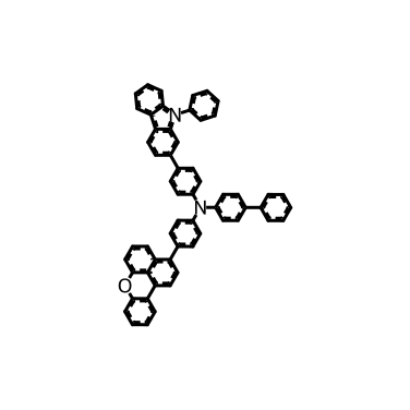 c1ccc(-c2ccc(N(c3ccc(-c4ccc5c6ccccc6n(-c6ccccc6)c5c4)cc3)c3ccc(-c4ccc5c6c(cccc46)Oc4ccccc4-5)cc3)cc2)cc1